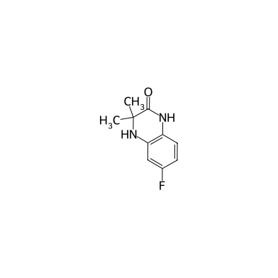 CC1(C)Nc2cc(F)ccc2NC1=O